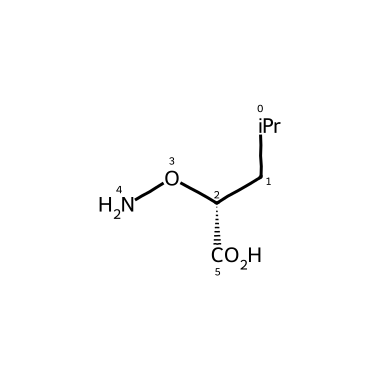 CC(C)C[C@@H](ON)C(=O)O